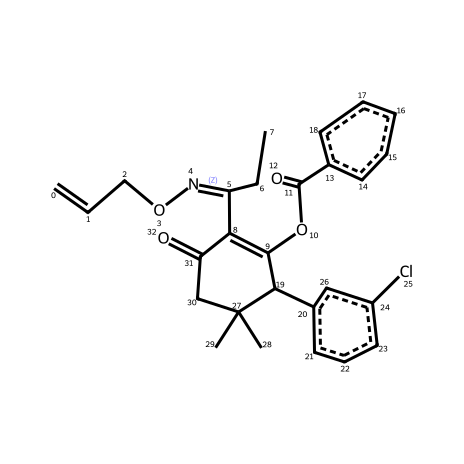 C=CCO/N=C(/CC)C1=C(OC(=O)c2ccccc2)C(c2cccc(Cl)c2)C(C)(C)CC1=O